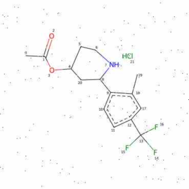 CC(=O)OC1CCNC(c2ccc(C(F)(F)F)cc2C)C1.Cl